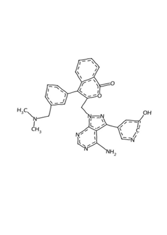 CN(C)Cc1cccc(-c2c(Cn3nc(-c4cncc(O)c4)c4c(N)ncnc43)oc(=O)c3ccccc23)c1